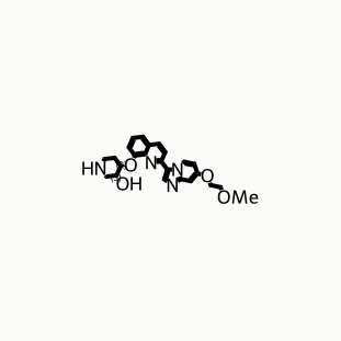 COCCOc1ccn2c(-c3ccc4cccc(O[C@@H]5CCNC[C@@H]5O)c4n3)cnc2c1